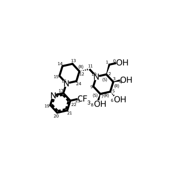 OC[C@H]1[C@@H](O)[C@H](O)[C@@H](O)CN1C[C@H]1CCCN(c2ncccc2C(F)(F)F)C1